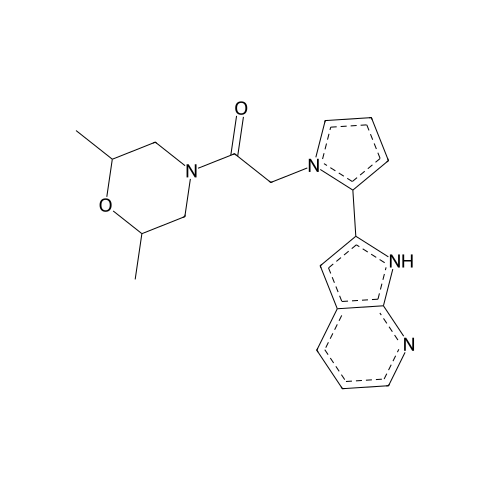 CC1CN(C(=O)Cn2cccc2-c2cc3cccnc3[nH]2)CC(C)O1